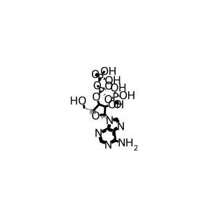 Nc1ncnc2c1ncn2[C@@H]1O[C@H](CO)C(OP(=O)(OP(=O)(O)O)OP(=O)(O)O)C1O